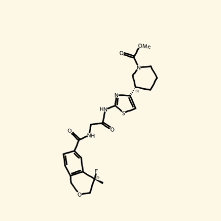 COC(=O)N1CCC[C@H](c2csc(NC(=O)CNC(=O)c3ccc4c(c3)[C@](C)(F)COC4)n2)C1